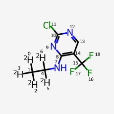 [2H]C([2H])([2H])C([2H])([2H])Nc1nc(Cl)ncc1C(F)(F)F